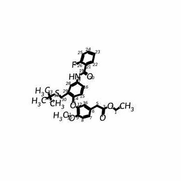 CCOC(=O)Cc1ccc(OC)c(Oc2ccc(NC(=O)c3ccccc3F)cc2CSC(C)(C)C)c1